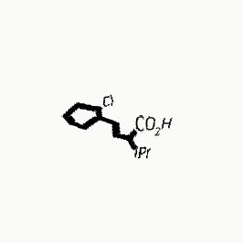 CC(C)C(C=Cc1ccccc1Cl)C(=O)O